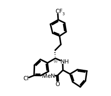 CNC(=O)C(N[C@@H](CCc1ccc(C(F)(F)F)cc1)c1ccc(Cl)cc1)c1ccccc1